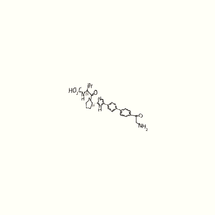 CC(C)[C@H](NC(=O)O)C(=O)N1CCC[C@H]1c1ncc(-c2ccc(-c3ccc(C(=O)CN)cc3)cc2)[nH]1